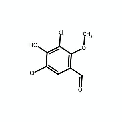 COc1c(C=O)cc(Cl)c(O)c1Cl